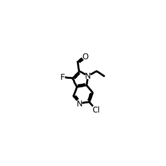 CCn1c(C=O)c(F)c2cnc(Cl)cc21